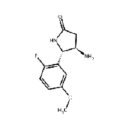 COc1ccc(F)c([C@@H]2NC(=O)C[C@H]2N)c1